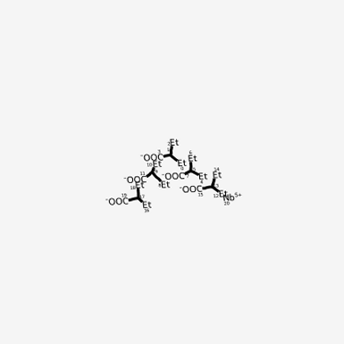 CCC(CC)C(=O)[O-].CCC(CC)C(=O)[O-].CCC(CC)C(=O)[O-].CCC(CC)C(=O)[O-].CCC(CC)C(=O)[O-].[Nb+5]